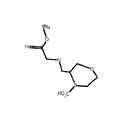 CC(C)(C)OC(=O)COCC1COCCN1C(=O)O